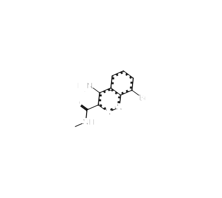 CNC(=O)c1nnc2c(Br)cccc2c1N